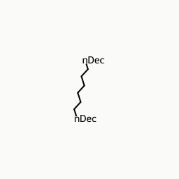 CCCCCCCCCCCCCCCCCCCCCCCCCC